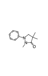 CN1C(=O)C(C)(C)CN1c1ccccc1